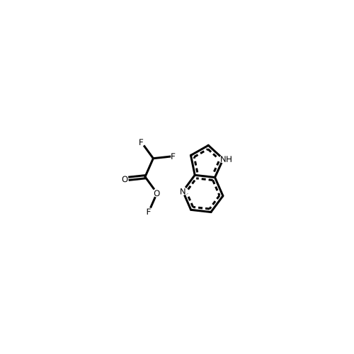 O=C(OF)C(F)F.c1cnc2cc[nH]c2c1